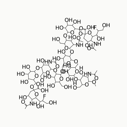 COC1OC(CO)C(OC2OC(COC3OC(CO)C(O)C(O)C3OC3OC(CO)C(OC4OC(COC5(C(=O)O)CC(O)C(NC(C)=O)C([C@H](O)C(F)CO)O5)C(O)C(O)C4O)C(O)C3NC(C)=O)C(O)C(OC3OC(CO)C(O)C(O)C3OC3OC(CO)C(OC4OC(COC5(C(=O)O)CC(O)C(NC(C)=O)C([C@H](O)C(F)CO)O5)C(O)C(O)C4O)C(O)C3NC(C)=O)C2O)C(O)C1NC(C)=O